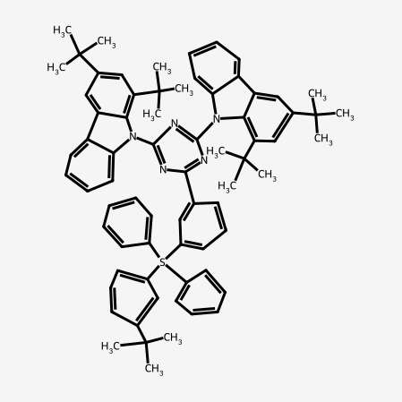 CC(C)(C)c1cccc(S(c2ccccc2)(c2ccccc2)c2cccc(-c3nc(-n4c5ccccc5c5cc(C(C)(C)C)cc(C(C)(C)C)c54)nc(-n4c5ccccc5c5cc(C(C)(C)C)cc(C(C)(C)C)c54)n3)c2)c1